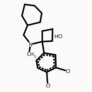 CN(CC1CCCCC1)C1(c2ccc(Cl)c(Cl)c2)CCC1.Cl